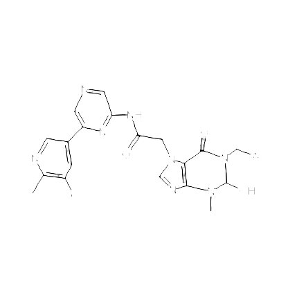 CC(=O)CN1C(=O)c2c(ncn2CC(=O)Nc2cncc(-c3cnc(C)c(C(F)(F)F)c3)n2)N(C)C1O